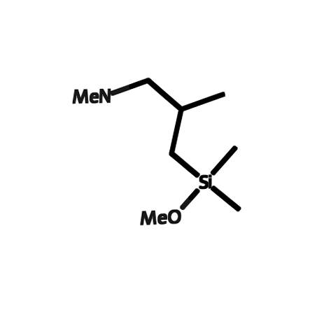 CNCC(C)C[Si](C)(C)OC